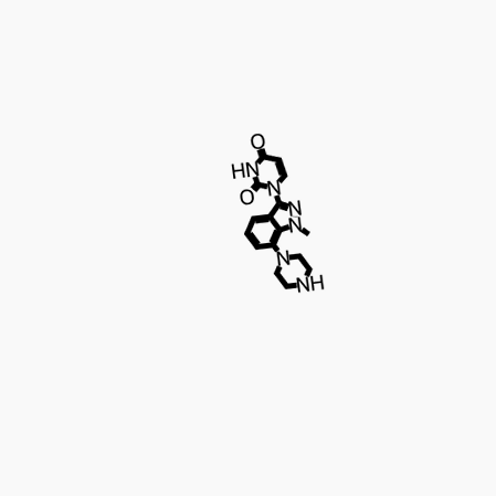 Cn1nc(-n2ccc(=O)[nH]c2=O)c2cccc(N3CCNCC3)c21